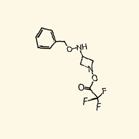 O=C(ON1CC(NOCc2ccccc2)C1)C(F)(F)F